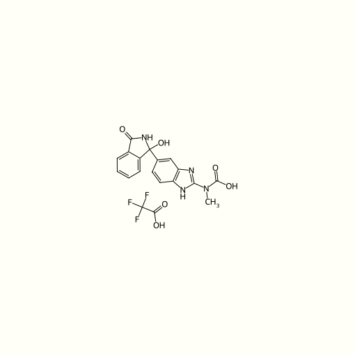 CN(C(=O)O)c1nc2cc(C3(O)NC(=O)c4ccccc43)ccc2[nH]1.O=C(O)C(F)(F)F